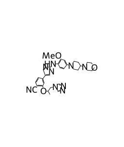 COc1cc(N2CCC(N3CCOCC3)CC2)ccc1Nc1ncc(-c2ccc(C#N)c(OC(C)Cn3cnnc3)c2)cn1